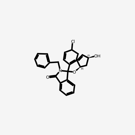 O=C1c2ccccc2C(O[C@H]2C=C[C@@H](O)C2)(C2=CCC(Cl)C=C2)N1Cc1ccccc1